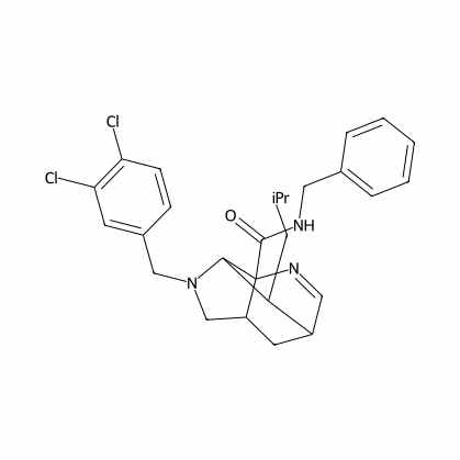 CC(C)CC1C2C=NC3(C(=O)NCc4ccccc4)C(C2)CN(Cc2ccc(Cl)c(Cl)c2)C13